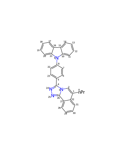 CCCc1cn2c(-c3ccc(-n4c5ccccc5c5ccccc54)cc3)nnc2c2ccccc12